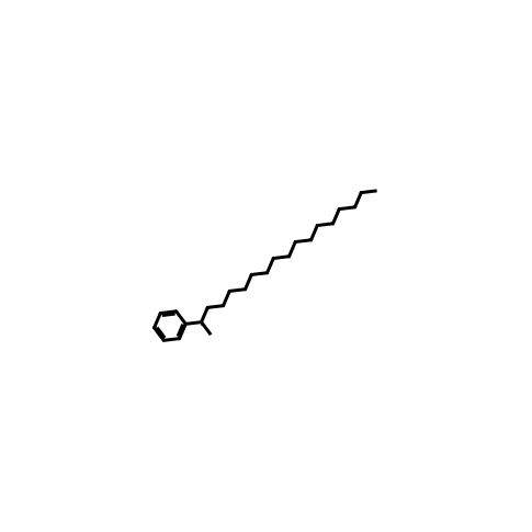 CCCCCCCCCCCCCCCC[C](C)c1ccccc1